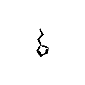 CCCn1c[c]cn1